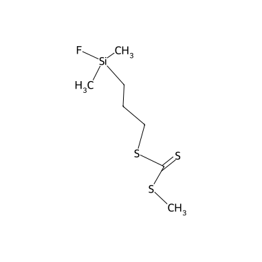 CSC(=S)SCCC[Si](C)(C)F